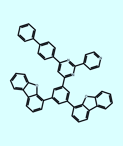 c1ccc(-c2ccc(-c3cc(-c4cc(-c5cccc6c5oc5ccccc56)cc(-c5cccc6c5oc5ccccc56)c4)nc(-c4ccncc4)n3)cc2)cc1